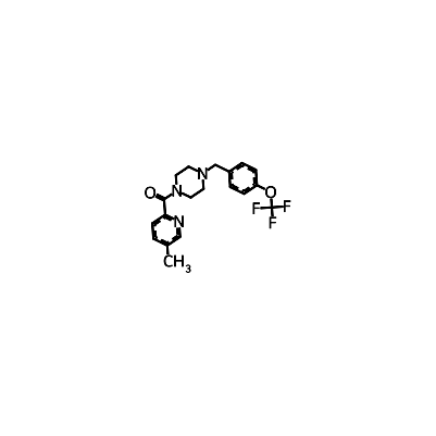 Cc1ccc(C(=O)N2CCN(Cc3ccc(OC(F)(F)F)cc3)CC2)nc1